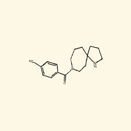 O=C(c1ccc(S)cc1)N1CCCC2(CCCN2)CC1